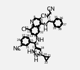 N#CCC[C@@H](Nc1c(C#N)cnc2c(Cl)cc(NC(C3=CN(C4CC4)NN3)c3cccc(C#N)c3)cc12)c1ccccc1